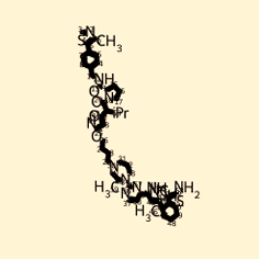 Cc1ncsc1-c1ccc(CNC(=O)[C@@H]2CCCN2C(=O)C(c2cc(OCCCCN3CCCN(c4nccc(C(=N)/C=C(\O)[C@@]5(C)CCCc6sc(N)c(C#N)c65)n4)[C@@H](C)C3)no2)C(C)C)cc1